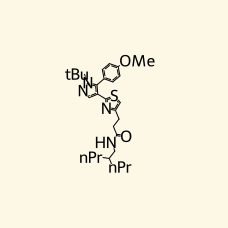 CCCC(CCC)CNC(=O)CCc1csc(-c2cnn(C(C)(C)C)c2-c2ccc(OC)cc2)n1